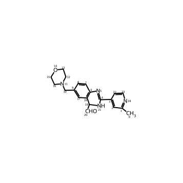 Cc1cc(C2=Nc3ccc(CN4CCOCC4)cc3C(C=O)N2)ccn1